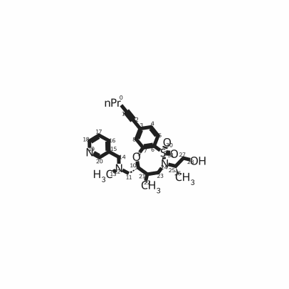 CCCC#Cc1ccc2c(c1)O[C@@H](CN(C)Cc1cccnc1)C(C)CN([C@@H](C)CO)S2(=O)=O